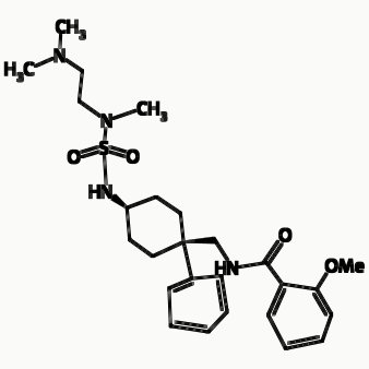 COc1ccccc1C(=O)NC[C@]1(c2ccccc2)CC[C@H](NS(=O)(=O)N(C)CCN(C)C)CC1